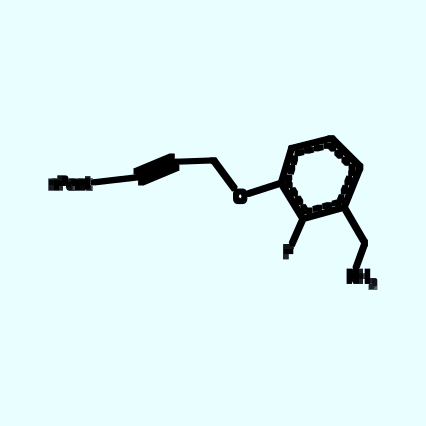 CCCCCC#CCOc1cccc(CN)c1F